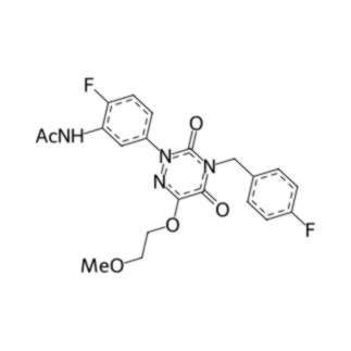 COCCOc1nn(-c2ccc(F)c(NC(C)=O)c2)c(=O)n(Cc2ccc(F)cc2)c1=O